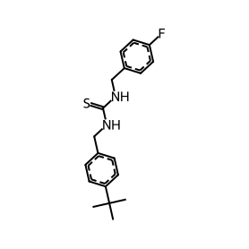 CC(C)(C)c1ccc(CNC(=S)NCc2ccc(F)cc2)cc1